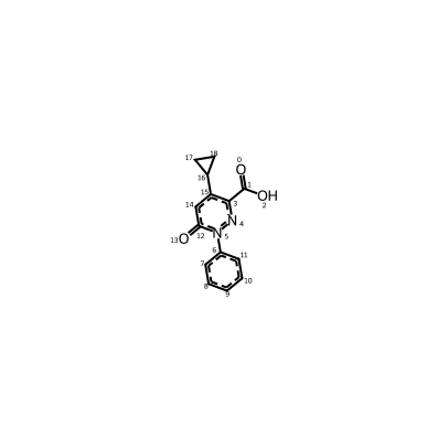 O=C(O)c1nn(-c2ccccc2)c(=O)cc1C1CC1